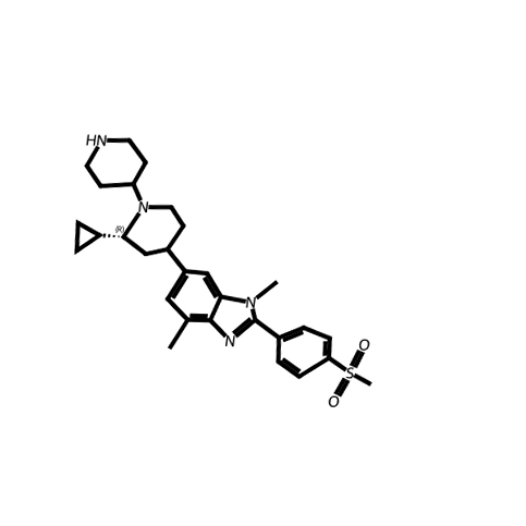 Cc1cc(C2CCN(C3CCNCC3)[C@@H](C3CC3)C2)cc2c1nc(-c1ccc(S(C)(=O)=O)cc1)n2C